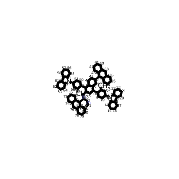 C/C=C\C(=C/c1cc(-c2ccc(-n3c4ccccc4c4ccccc43)cc2C)c2cc(-c3c4ccccc4cc4ccccc34)ccc2c1-c1ccc(-n2c3ccccc3c3ccccc32)cc1C)c1c2ccccc2cc2ccccc12